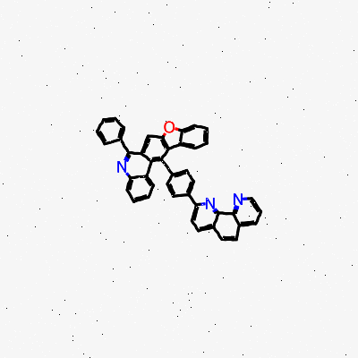 c1ccc(-c2nc3ccccc3c3c(-c4ccc(-c5ccc6ccc7cccnc7c6n5)cc4)c4c(cc23)oc2ccccc24)cc1